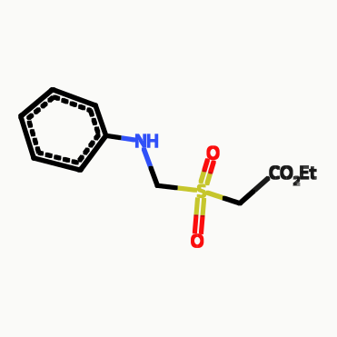 CCOC(=O)CS(=O)(=O)CNc1ccccc1